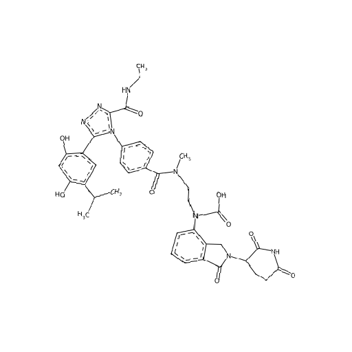 CCNC(=O)c1nnc(-c2cc(C(C)C)c(O)cc2O)n1-c1ccc(C(=O)N(C)CCN(C(=O)O)c2cccc3c2CN(C2CCC(=O)NC2=O)C3=O)cc1